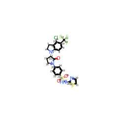 O=C1[C@@H](N2CCc3c2ccc(C(F)(F)F)c3Cl)CCN1c1ccc(S(=O)(=O)Nc2nccs2)cc1